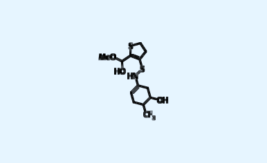 COC(O)C1=C(SNC2=CCC(C(F)(F)F)C(O)C2)CCS1